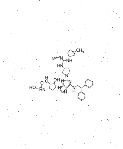 CN1CC[C@@H](N/C(=N/C#N)N[C@@H]2CCN(c3nc(NCC(c4ccccc4)c4ccccc4)c4ncn([C@@H]5C[C@H](NC(=O)CO)[C@@H](O)[C@H]5O)c4n3)C2)C1